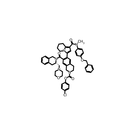 CN(C(=O)c1cc(-c2cc3c(cc2C(=O)N2Cc4ccccc4C[C@H]2CN2CCOCC2)CN(C(=O)Oc2ccc(Cl)cc2)CC3)n2c1CCCC2)c1ccc(OCc2ccccc2)cc1